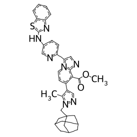 COC(=O)c1c(-c2cnn(CC34CC5CC(CC(C5)C3)C4)c2C)ccn2c(-c3ccc(Nc4nc5ccccc5s4)cn3)cnc12